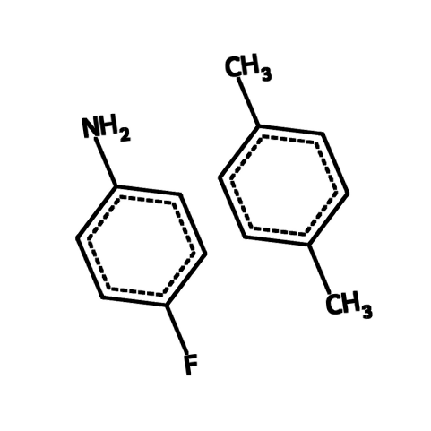 Cc1ccc(C)cc1.Nc1ccc(F)cc1